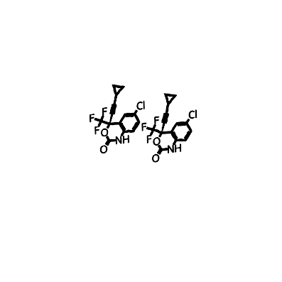 O=C1Nc2ccc(Cl)cc2[C@@](C#CC2CC2)(C(F)(F)F)O1.O=C1Nc2ccc(Cl)cc2[C@@](C#CC2CC2)(C(F)(F)F)O1